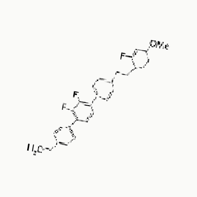 C=Cc1ccc(-c2ccc(-c3ccc(CCC4CCC(OC)C=C4F)cc3)c(F)c2F)cc1